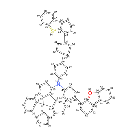 c1ccc(C2(c3ccccc3)c3ccccc3-c3c(N(c4ccc(-c5ccc(-c6cccc7c6sc6ccccc67)cc5)cc4)c4ccc(-c5cccc6c5oc5ccccc56)cc4)cccc32)cc1